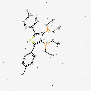 Cc1ccc(-c2sc(-c3ccc(C)cc3)c(P(CC(C)C)CC(C)C)c2P(CC(C)C)CC(C)C)cc1